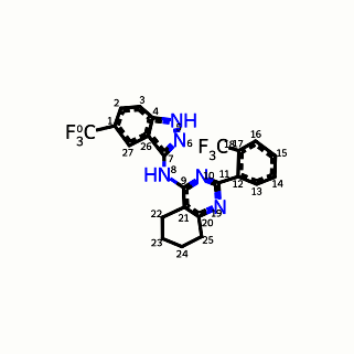 FC(F)(F)c1ccc2[nH]nc(Nc3nc(-c4ccccc4C(F)(F)F)nc4c3CCCC4)c2c1